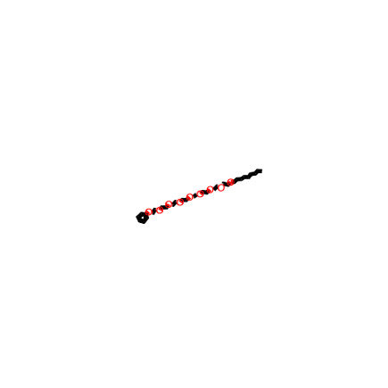 CCCCCCCCCOCCOCCOCCOCCOCCOCCOCCOCCOc1ccccc1